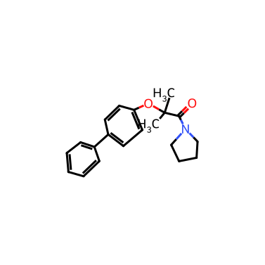 CC(C)(Oc1ccc(-c2ccccc2)cc1)C(=O)N1CCCC1